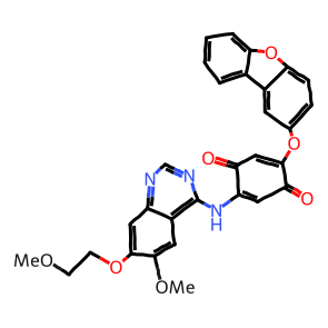 COCCOc1cc2ncnc(NC3=CC(=O)C(Oc4ccc5oc6ccccc6c5c4)=CC3=O)c2cc1OC